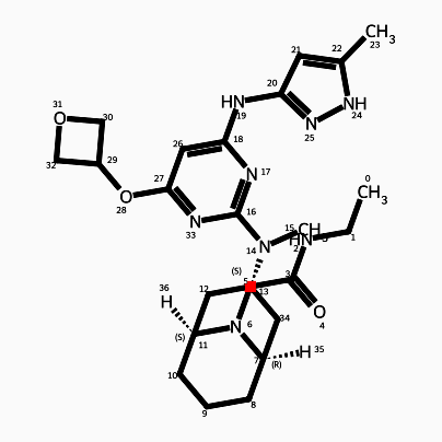 CCNC(=O)CN1[C@@H]2CCC[C@H]1C[C@H](N(C)c1nc(Nc3cc(C)[nH]n3)cc(OC3COC3)n1)C2